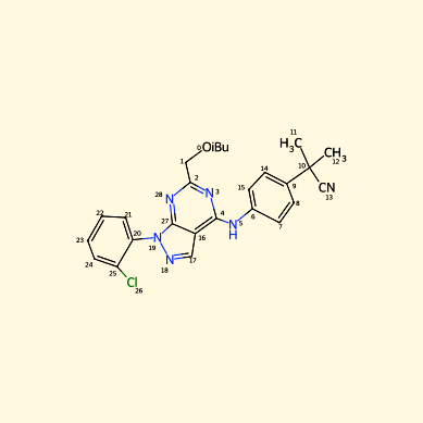 CC(C)COCc1nc(Nc2ccc(C(C)(C)C#N)cc2)c2cnn(-c3ccccc3Cl)c2n1